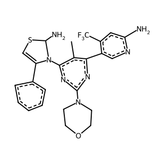 Cc1c(-c2cnc(N)cc2C(F)(F)F)nc(N2CCOCC2)nc1N1C(c2ccccc2)=CSC1N